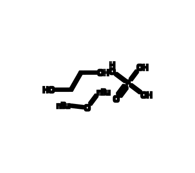 CCCCOCCCC.O=P(O)(O)O.OCCO